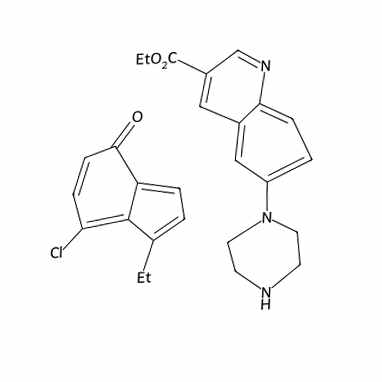 CCC1=CC=C2C(=O)C=CC(Cl)=C12.CCOC(=O)c1cnc2ccc(N3CCNCC3)cc2c1